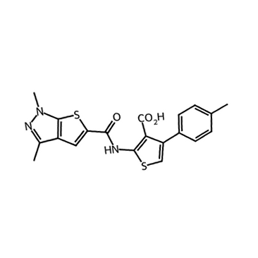 Cc1ccc(-c2csc(NC(=O)c3cc4c(C)nn(C)c4s3)c2C(=O)O)cc1